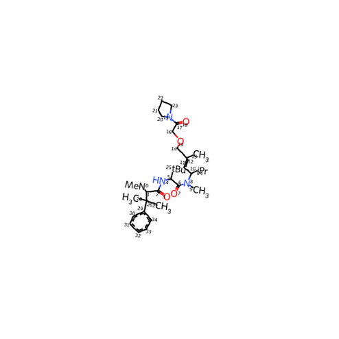 CNC(C(=O)NC(C(=O)N(C)C(/C=C(\C)COCC(=O)N1CCCC1)C(C)C)C(C)(C)C)C(C)(C)c1ccccc1